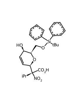 CC(C)[C@](C(=O)O)([C@H]1C=C[C@@H](O)[C@@H](CO[Si](c2ccccc2)(c2ccccc2)C(C)(C)C)O1)[N+](=O)[O-]